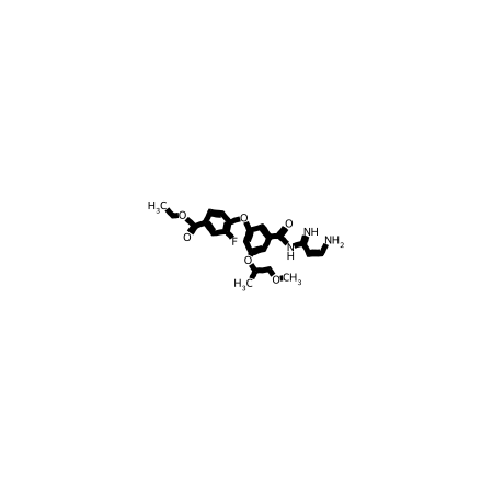 CCOC(=O)c1ccc(Oc2cc(OC(C)COC)cc(C(=O)NC(=N)/C=C\N)c2)c(F)c1